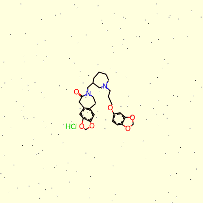 Cl.O=C1Cc2cc3c(cc2CCN1CC1CCCCN(CCCOc2ccc4c(c2)OCO4)C1)OCO3